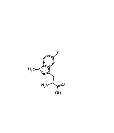 Cn1cc(CC(N)C(=O)O)c2cc(F)ccc21